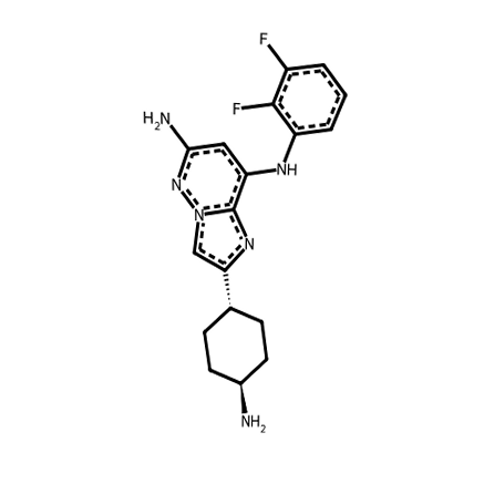 Nc1cc(Nc2cccc(F)c2F)c2nc([C@H]3CC[C@H](N)CC3)cn2n1